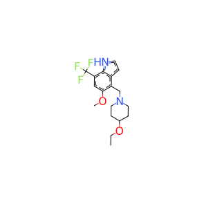 CCOC1CCN(Cc2c(OC)cc(C(F)(F)F)c3[nH]ccc23)CC1